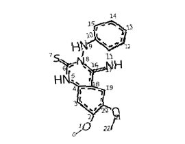 COc1cc2[nH]c(=S)n(Nc3ccccc3)c(=N)c2cc1OC